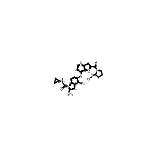 COC1CCCN1C(=O)c1cc2nccc(Oc3ccc4c(cc(C)n4C(=O)NC4CC4)c3F)c2s1